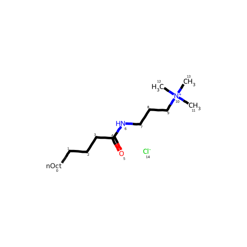 CCCCCCCCCCCC(=O)NCCC[N+](C)(C)C.[Cl-]